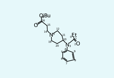 CCC(=O)N(c1ccccc1)C1CCN(CCC(=O)OCC(C)C)CC1